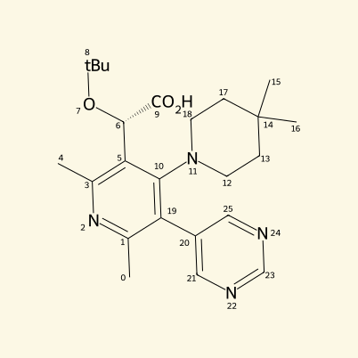 Cc1nc(C)c([C@H](OC(C)(C)C)C(=O)O)c(N2CCC(C)(C)CC2)c1-c1cncnc1